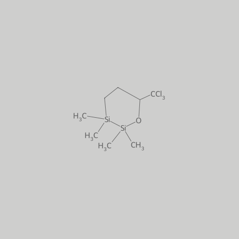 C[Si]1(C)CCC(C(Cl)(Cl)Cl)O[Si]1(C)C